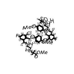 COC(=O)C(C)(C)NCCN[C@@H](C)c1cc(F)cc(Cl)c1COc1ccc(OC)cc1.COc1ccc(OCc2c(Cl)cc(F)cc2[C@H](C)NCCNC(C)(C)C(=O)O)cc1